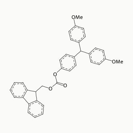 COc1ccc(C(c2ccc(OC)cc2)c2ccc(OC(=O)OCC3c4ccccc4-c4ccccc43)cc2)cc1